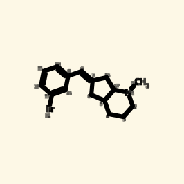 CN1CCCC2C/C(=C\c3cccc(Br)c3)CC21